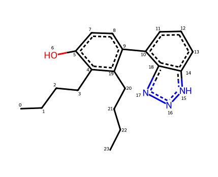 CCCCc1c(O)ccc(-c2cccc3[nH]nnc23)c1CCCC